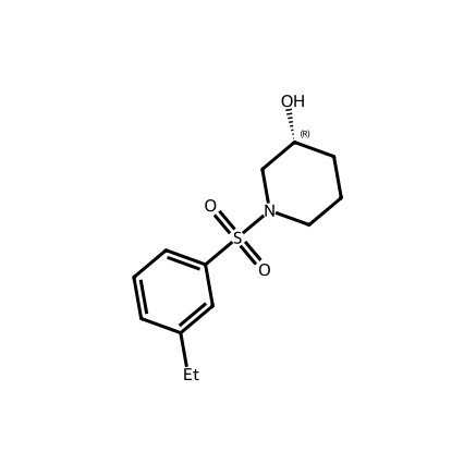 CCc1cccc(S(=O)(=O)N2CCC[C@@H](O)C2)c1